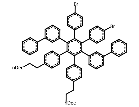 CCCCCCCCCCCCc1ccc(-c2c(-c3ccc(CCCCCCCCCCCC)cc3)c(-c3cccc(-c4ccccc4)c3)c(-c3ccc(Br)cc3)c(-c3ccc(Br)cc3)c2-c2cccc(-c3ccccc3)c2)cc1